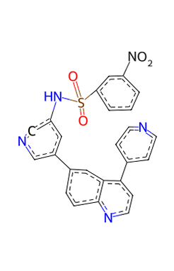 O=[N+]([O-])c1cccc(S(=O)(=O)Nc2cncc(-c3ccc4nccc(-c5ccncc5)c4c3)c2)c1